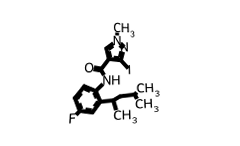 CC(C)CC(C)c1cc(F)ccc1NC(=O)c1cn(C)nc1I